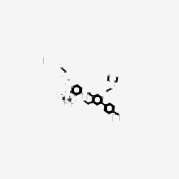 COCCOCOc1ccc(N2CCc3cc(-c4ccc(C(F)(F)F)cc4)c(OCCN4CCOCC4)cc3C2=O)cc1NS(C)(=O)=O